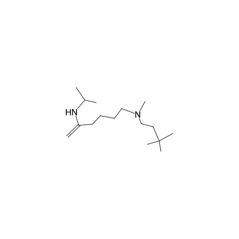 C=C(CCCCN(C)CCC(C)(C)C)NC(C)C